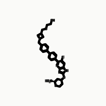 O=C(O)[C@@H]1CC(Oc2nc3nc(-c4ccc(-c5ccc(CN6CC(COCCO)C6)cc5)cc4)c(Cl)cc3[nH]2)CCO1